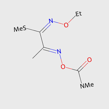 CCON=C(SC)C(C)=NOC(=O)NC